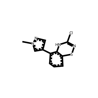 Cn1cc(-c2cccc3c2NC(Cl)=NS3)cn1